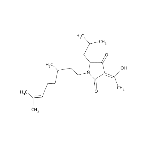 CC(C)=CCCC(C)CCN1C(=O)C(=C(C)O)C(=O)C1CC(C)C